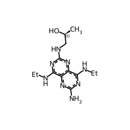 CCNc1nc(NC[C@H](C)O)nc2c(NCC)nc(N)nc12